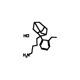 CCc1ccccc1C1(CCCCN)C2CC3CC(C2)CC1C3.Cl